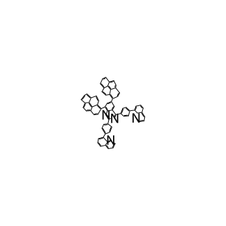 c1cnc2c(-c3ccc(-c4nc(-c5ccc(-c6cccc7cccnc67)cc5)c5cc(-c6ccc7ccc8cccc9ccc6c7c89)cc(-c6ccc7ccc8cccc9ccc6c7c89)c5n4)cc3)cccc2c1